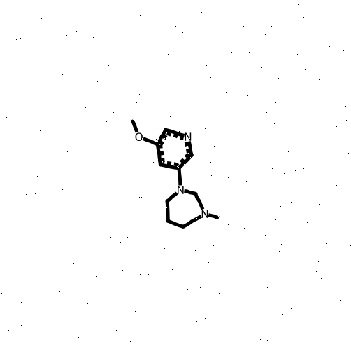 COc1cncc(N2CCCN(C)C2)c1